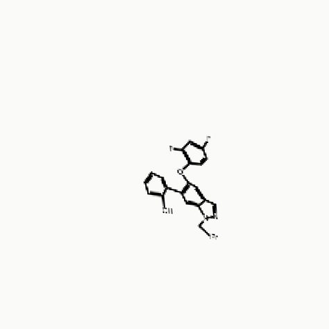 CC(C)Cn1ncc2cc(Oc3ccc(F)cc3F)c(-c3ccccc3O)cc21